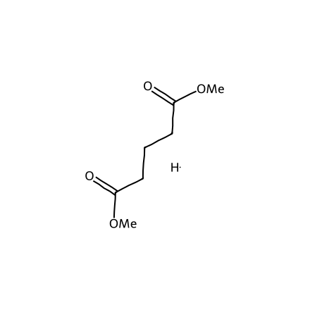 COC(=O)CCCC(=O)OC.[H]